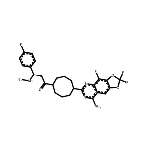 CCN[C@H](CC(=O)C1CCCC(c2nc(N)c3cc4c(c(F)c3n2)OC(F)(F)O4)CCC1)c1ccc(F)cc1